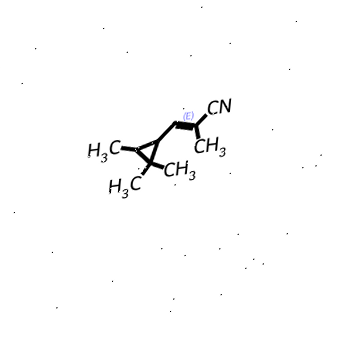 C/C(C#N)=C\C1C(C)C1(C)C